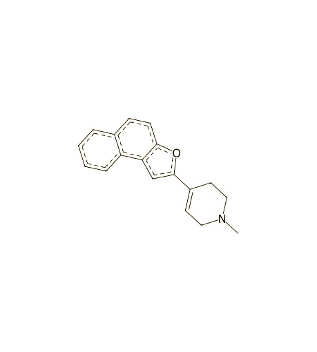 CN1CC=C(c2cc3c(ccc4ccccc43)o2)CC1